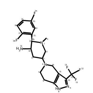 CN1CC(N2CCc3[nH]nc(C(F)(F)F)c3C2)CC(N)[C@H]1c1cc(F)ccc1F